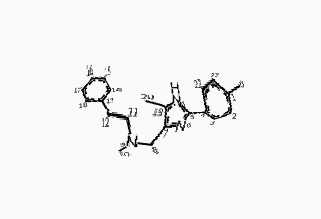 Cc1ccc(-c2nc(CN(C)CCc3ccccc3)c(C)[nH]2)cc1